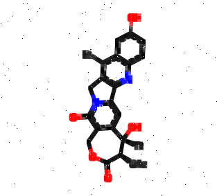 CCc1c2c(nc3ccc(O)cc13)-c1cc3c(c(=O)n1C2)COC(=O)[C@H](OC(C)=O)[C@]3(O)CC